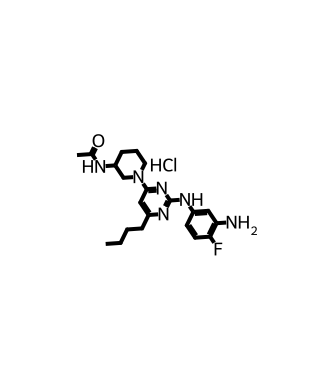 CCCCc1cc(N2CCCC(NC(C)=O)C2)nc(Nc2ccc(F)c(N)c2)n1.Cl